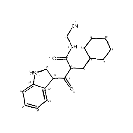 N#CCNC(=O)C(CC1CCCCC1)C(=O)C1CNc2ccccc21